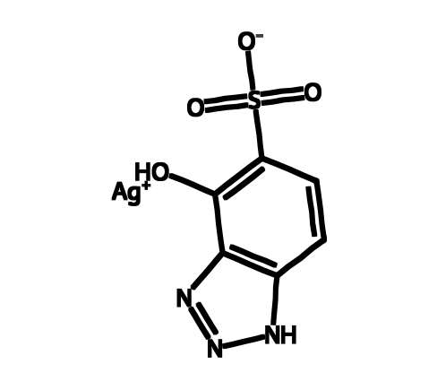 O=S(=O)([O-])c1ccc2[nH]nnc2c1O.[Ag+]